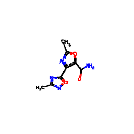 Cc1noc(-c2nc(C)oc2C(N)=O)n1